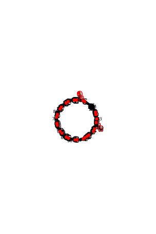 COCOC12CCC(CC1)c1ccc(cc1)-c1ccc(cc1)C1(C)CCC(OCOC)(CC1)c1ccc(cc1)-c1ccc3cc(ccc3c1)-c1ccc(cc1)C1(C)CCC(C)(CC1)c1ccc(cc1)-c1ccc(cc1)C1(C)CCC(C)(CC1)c1ccc(cc1)-c1ccc(cc1)-c1ccc2cc1